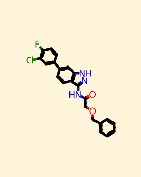 O=C(COCc1ccccc1)Nc1n[nH]c2cc(-c3ccc(F)c(Cl)c3)ccc12